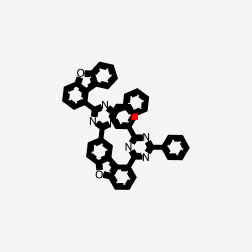 c1ccc(-c2nc(-c3ccc4oc5cccc(-c6nc(-c7ccccc7)nc(-c7ccccc7)n6)c5c4c3)nc(-c3cccc4oc5ccccc5c34)n2)cc1